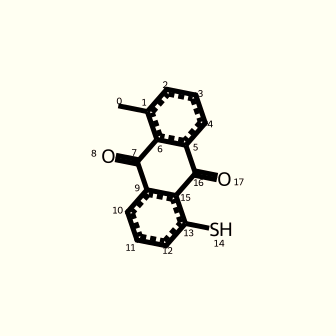 Cc1cccc2c1C(=O)c1cccc(S)c1C2=O